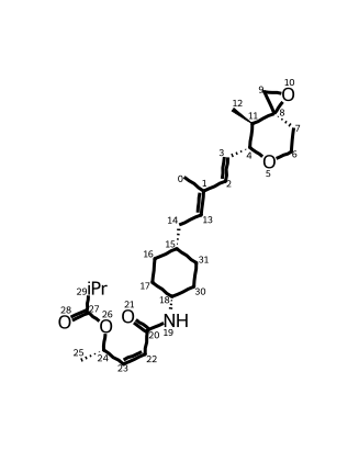 CC(/C=C/[C@H]1OCC[C@@]2(CO2)[C@@H]1C)=C\C[C@H]1CC[C@@H](NC(=O)/C=C\[C@H](C)OC(=O)C(C)C)CC1